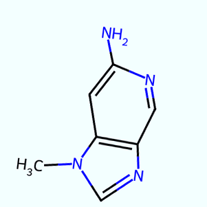 Cn1cnc2cnc(N)cc21